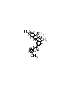 Cc1cc2c(cn1)cc(-c1cc(C(=O)Nc3cc(C)no3)ccc1C)c(=O)n2C